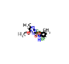 CCOc1cc(C)nc2nc(S(=O)(=O)Nc3c(Br)ccc(C)c3Br)nn12